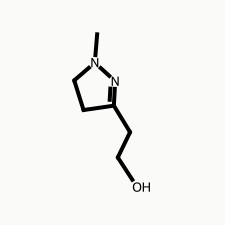 CN1CCC(CCO)=N1